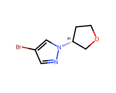 Brc1cnn([C@@H]2CCOC2)c1